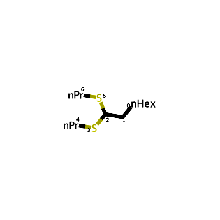 CCCCCCCC(SCCC)SCCC